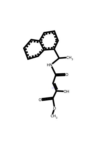 COC(=O)/C(O)=C/C(=O)NC(C)c1cccc2ccccc12